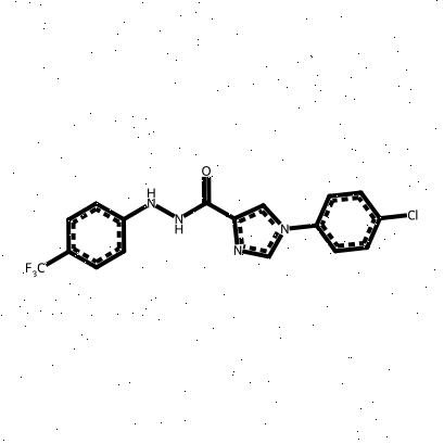 O=C(NNc1ccc(C(F)(F)F)cc1)c1cn(-c2ccc(Cl)cc2)cn1